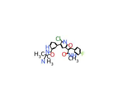 CNC(=O)c1c(-c2ccc(F)cc2)oc2nc(Cl)c(-c3cccc(C(=O)NC(C)(C)C#N)c3)cc12